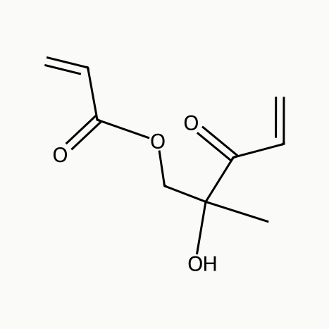 C=CC(=O)OCC(C)(O)C(=O)C=C